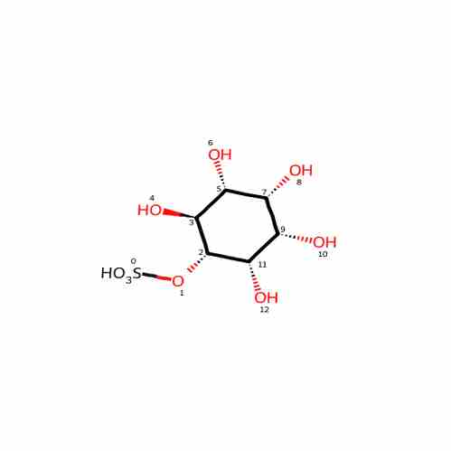 O=S(=O)(O)O[C@@H]1[C@@H](O)[C@H](O)[C@H](O)[C@H](O)[C@@H]1O